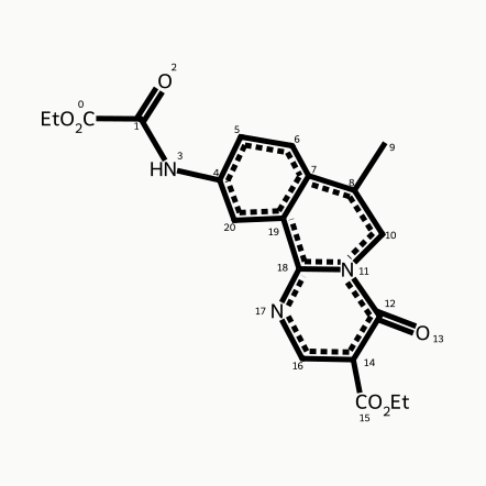 CCOC(=O)C(=O)Nc1ccc2c(C)cn3c(=O)c(C(=O)OCC)cnc3c2c1